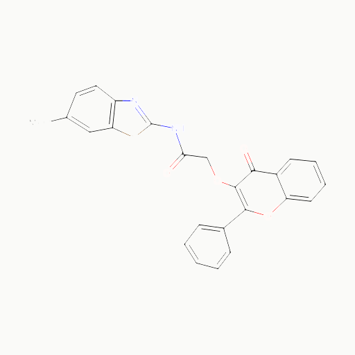 COc1ccc2nc(NC(=O)COc3c(-c4ccccc4)oc4ccccc4c3=O)sc2c1